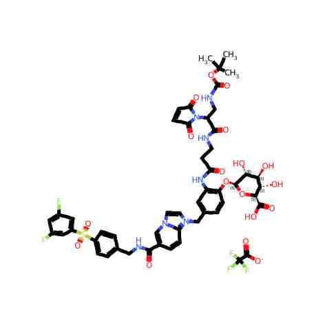 CC(C)(C)OC(=O)NCC(C(=O)NCCC(=O)Nc1cc(C[n+]2ccn3cc(C(=O)NCc4ccc(S(=O)(=O)c5cc(F)cc(F)c5)cc4)ccc32)ccc1O[C@@H]1O[C@H](C(=O)O)[C@@H](O)[C@H](O)[C@H]1O)N1C(=O)C=CC1=O.O=C([O-])C(F)(F)F